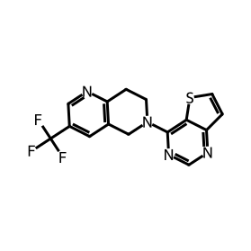 FC(F)(F)c1cnc2c(c1)CN(c1ncnc3ccsc13)CC2